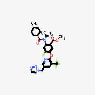 COC(=O)c1cc(Oc2ncc(Cn3ccnn3)cc2C(F)(F)F)c(F)cc1N(C(=O)[C@H]1CC[C@H](C)CC1)C(C)C